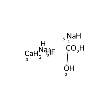 F.O=C(O)O.[CaH2].[NaH].[NaH]